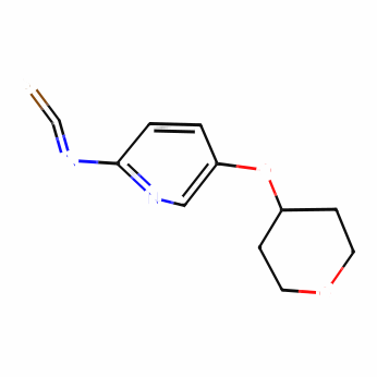 S=C=Nc1ccc(OC2CCOCC2)cn1